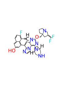 C#Cc1c(F)ccc2cc(O)cc(-c3cc4nc(OC[C@@]56CCCN5CC(=C(F)F)C6)nc(N5[C@@H]6CC[C@H]5CNC6)c4n4ccnc34)c12